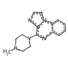 CN1CCN(c2nc3ccccc3n3ccnc23)CC1